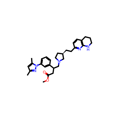 COC(=O)CC(CN1CC[C@@H](CCc2ccc3c(n2)NCCC3)C1)c1cccc(-n2nc(C)cc2C)c1